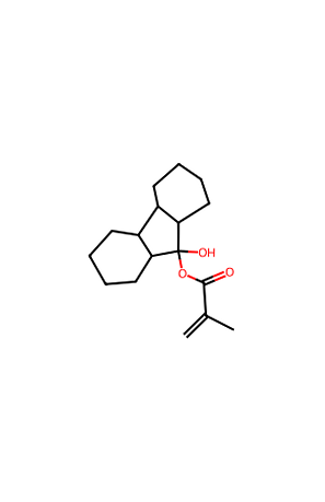 C=C(C)C(=O)OC1(O)C2CCCCC2C2CCCCC21